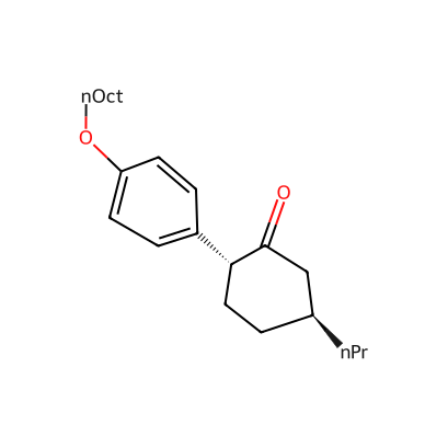 CCCCCCCCOc1ccc([C@H]2CC[C@H](CCC)CC2=O)cc1